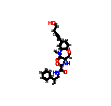 CC(CNC(=O)C(=O)N[C@H]1COc2ccc(C#CCCO)cc2N(C)C1=O)c1ccccc1